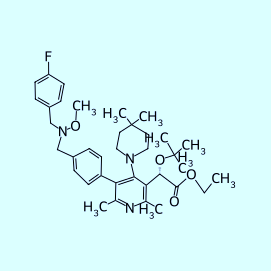 CCOC(=O)[C@@H](OC(C)(C)C)c1c(C)nc(C)c(-c2ccc(CN(Cc3ccc(F)cc3)OC)cc2)c1N1CCC(C)(C)CC1